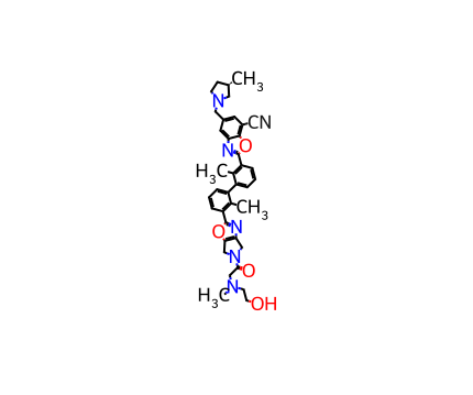 Cc1c(-c2nc3c(o2)CN(C(=O)CN(C)CCO)C3)cccc1-c1cccc(-c2nc3cc(CN4CC[C@H](C)C4)cc(C#N)c3o2)c1C